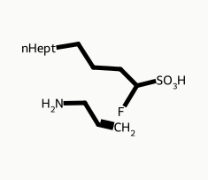 C=CCN.CCCCCCCCCCC(F)S(=O)(=O)O